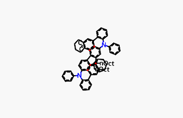 CCCCCCCCC1(CCCCCCCC)c2cc(N(c3ccccc3)c3ccccc3-c3ccc4c(c3)C3CCCC4CC3)ccc2-c2ccc(N(c3ccccc3)c3ccccc3-c3ccc4c(c3)C3CCCC4CC3)cc21